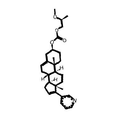 CO[C@@H](C)COC(=O)O[C@H]1CC[C@@]2(C)C(=CC[C@@H]3[C@@H]2CC[C@]2(C)C(c4cccnc4)=CC[C@@H]32)C1